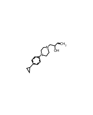 C=CC(O)CN1CCN(c2ccc(C3CC3)cc2)CC1